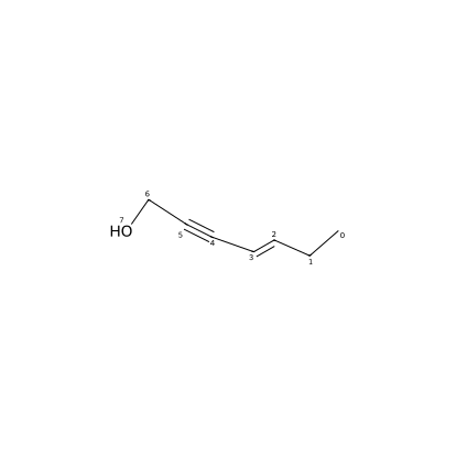 CCC=CC#CCO